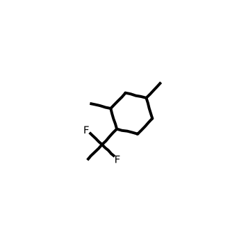 CC1CCC(C(C)(F)F)C(C)C1